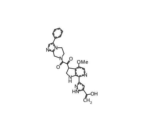 C=C(O)c1cc(-c2ncc(OC)c3c2NCC3C(=O)C(=O)N2CCn3c(-c4ccccc4)cnc3C2)n[nH]1